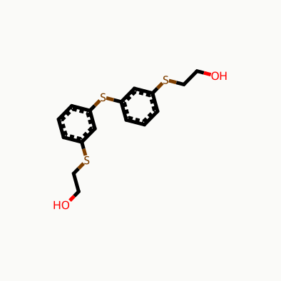 OCCSc1cccc(Sc2cccc(SCCO)c2)c1